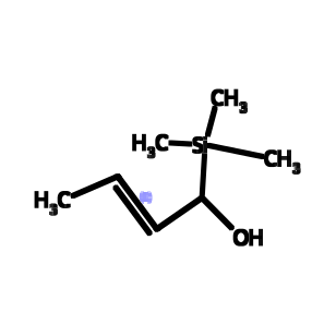 C/C=C/C(O)[Si](C)(C)C